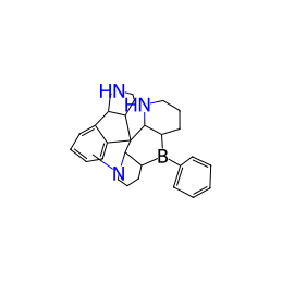 CN1CCCC2B(c3ccccc3)C3CCCNC3C3(c4ccccc4C4CNCCC43)C21